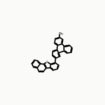 CC(C)(C)c1ccc2c3ccc(-c4cccc5c4sc4c6ccccc6ccc54)cc3c3ccccc3c2c1